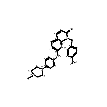 CSc1ccc(Cn2c(=O)ccc3cnc(Nc4ccc(N5CCN(C)CC5)cc4)nc32)cc1